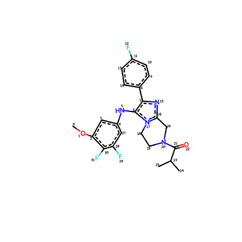 COc1cc(Nc2c(-c3ccc(F)cc3)nc3n2CCN(C(=O)C(C)C)C3)cc(F)c1F